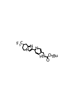 CC(C)(C)OC(=O)NCc1ccc(-c2cn3c(n2)CC(C(F)(F)F)CC3)nc1